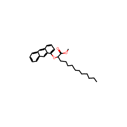 CCCCCCCCCCCC(Oc1cccc2cc3ccccc3cc12)C(=O)OC